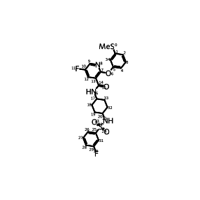 CSc1cccc(Oc2ncc(F)cc2C(=O)NC2CCC(NS(=O)(=O)c3cccc(F)c3)CC2)c1